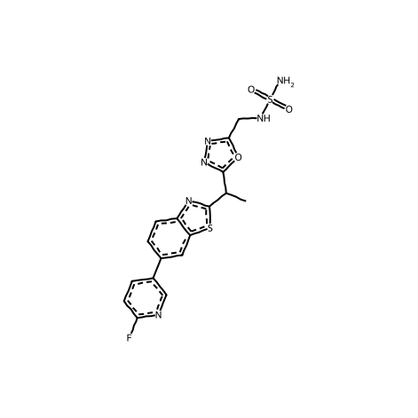 CC(c1nnc(CNS(N)(=O)=O)o1)c1nc2ccc(-c3ccc(F)nc3)cc2s1